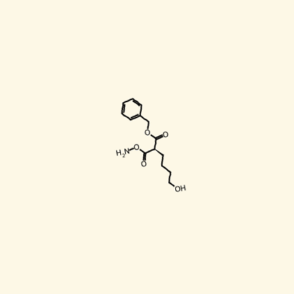 NOC(=O)[C@H](CCCCO)C(=O)OCc1ccccc1